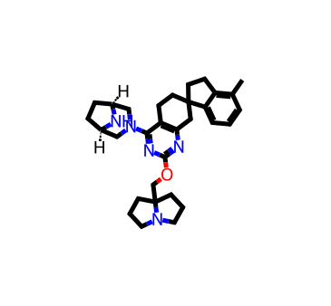 Cc1cccc2c1CCC21CCc2c(nc(OCC34CCCN3CCC4)nc2N2C[C@H]3CC[C@@H](C2)N3)C1